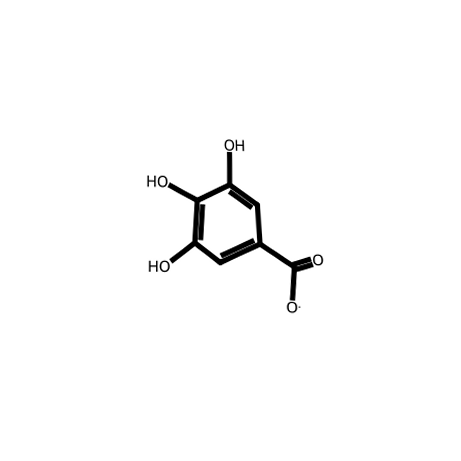 [O]C(=O)c1cc(O)c(O)c(O)c1